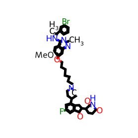 COc1cc2c(N[C@H](C)c3cccc(Br)c3)nc(C)nc2cc1OCCCCCCCN1CCC(c2cc(F)cc3c2CC(C2CCC(=O)NC2=O)C3=O)CC1